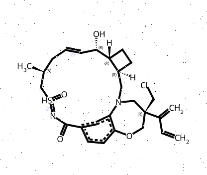 C=CC(=C)[C@]1(CCl)COc2ccc3cc2N(C[C@@H]2CC[C@H]2[C@@H](O)/C=C/C[C@H](C)C/[SH](=O)=N/C3=O)C1